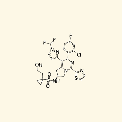 O=S(=O)(N[C@H]1CC2=C(c3ccn(C(F)F)n3)[C@H](c3ccc(F)cc3Cl)N=C(c3nccs3)N2C1)C1(CCO)CC1